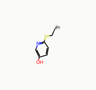 CC(C)CSc1ccc(O)cn1